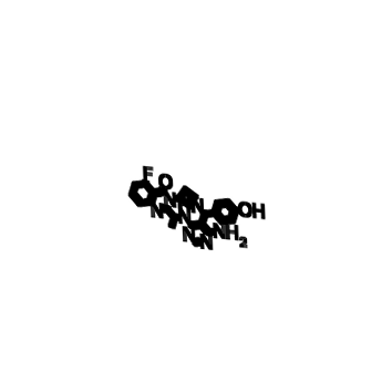 CC(Nc1ncnc(N)c1C(=N)c1ccc(O)cc1)c1nc2c(c(=O)n1C1CCC1)C(F)CC=C2